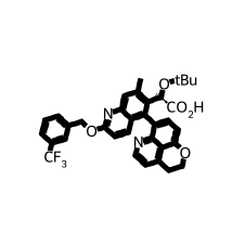 Cc1cc2nc(OCc3cccc(C(F)(F)F)c3)ccc2c(-c2ccc3c4c(ccnc24)CCO3)c1[C@H](OC(C)(C)C)C(=O)O